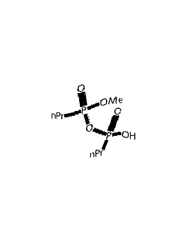 CCCP(=O)(O)OP(=O)(CCC)OC